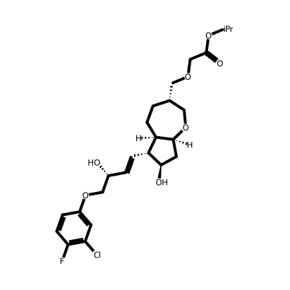 CC(C)OC(=O)COC[C@H]1CC[C@@H]2[C@@H](/C=C/[C@@H](O)COc3ccc(F)c(Cl)c3)[C@H](O)C[C@@H]2OC1